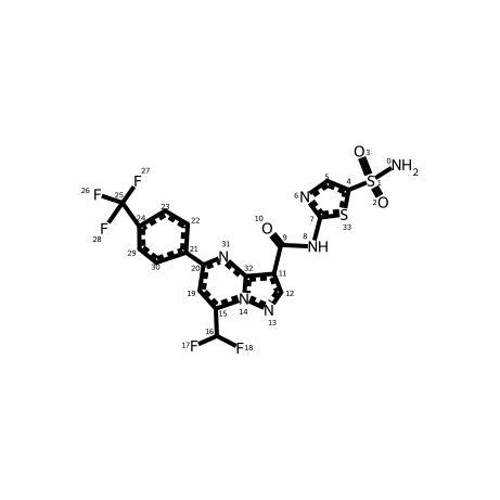 NS(=O)(=O)c1cnc(NC(=O)c2cnn3c(C(F)F)cc(-c4ccc(C(F)(F)F)cc4)nc23)s1